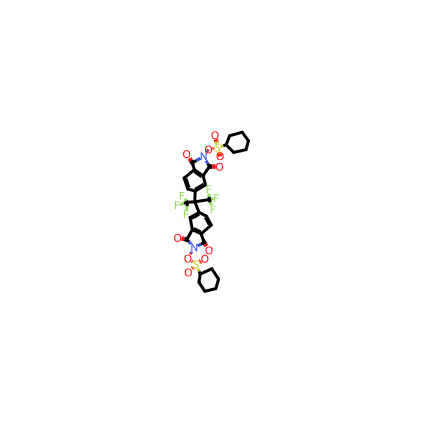 O=C1c2ccc(C(c3ccc4c(c3)C(=O)N(OS(=O)(=O)C3CCCCC3)C4=O)(C(F)(F)F)C(F)(F)F)cc2C(=O)N1OS(=O)(=O)C1CCCCC1